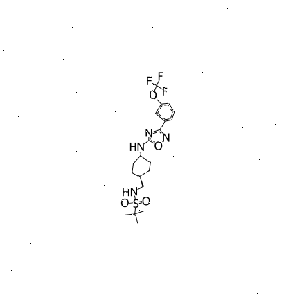 CC(C)(C)S(=O)(=O)NC[C@H]1CC[C@H](Nc2nc(-c3cccc(OC(F)(F)F)c3)no2)CC1